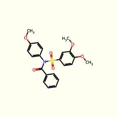 COc1ccc(N(C(=O)c2ccccc2)S(=O)(=O)c2ccc(OC)c(OC)c2)cc1